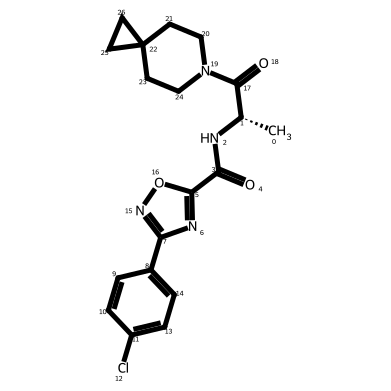 C[C@H](NC(=O)c1nc(-c2ccc(Cl)cc2)no1)C(=O)N1CCC2(CC1)CC2